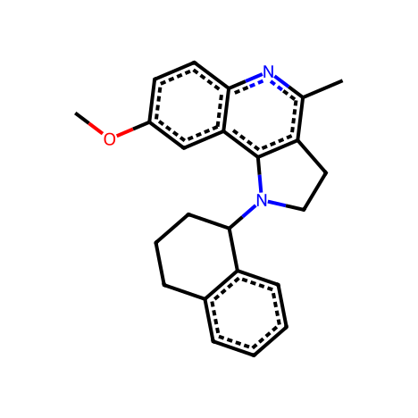 COc1ccc2nc(C)c3c(c2c1)N(C1CCCc2ccccc21)CC3